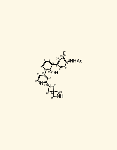 CC(=O)Nc1ccc(-c2cccc(-c3ccnc(N4CC5(CNC5)C4)c3)c2O)cc1F